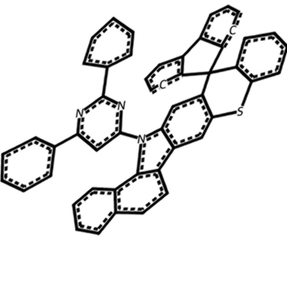 c1ccc(-c2cc(-n3c4cc5c(cc4c4ccc6ccccc6c43)Sc3ccccc3C53c4ccccc4-c4ccccc43)nc(-c3ccccc3)n2)cc1